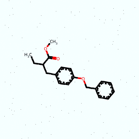 CCC(Cc1ccc(OCc2ccccc2)cc1)C(=O)OC